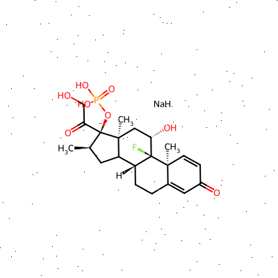 C[C@@H]1CC2[C@H]3CCC4=CC(=O)C=C[C@]4(C)[C@@]3(F)[C@@H](O)C[C@]2(C)[C@@]1(OP(=O)(O)O)C(=O)CO.[NaH]